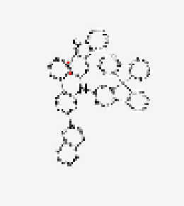 c1ccc(-c2ccc(-c3ccc4ccccc4c3)cc2N(c2ccc3c(c2)C(c2ccccc2)(c2ccccc2)c2ccccc2-3)c2ccc3sc4ccccc4c3c2)cc1